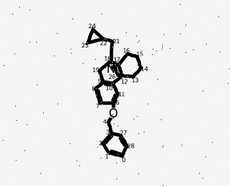 c1ccc(COc2ccc3c(c2)C24CCCCC2C(C3)N(CC2CC2)CC4)cc1